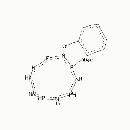 CCCCCCCCCCp1[nH][pH][nH][pH][nH][pH]npn1Oc1ccccc1